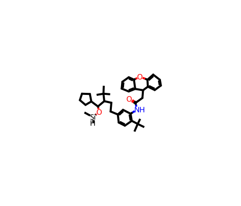 C[SiH](C)OC(C1CCCC1)C(CCc1ccc(C(C)(C)C)c(NC(=O)CC2c3ccccc3Oc3ccccc32)c1)C(C)(C)C